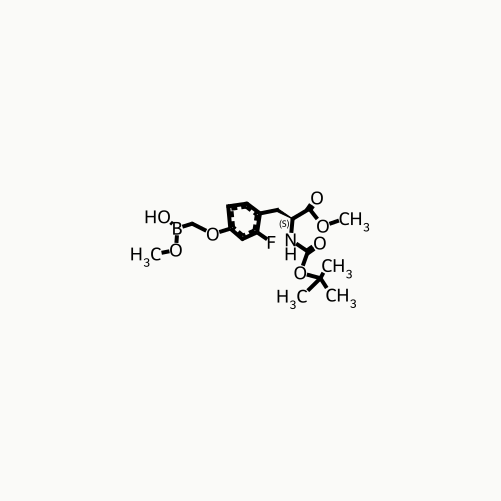 COB(O)COc1ccc(C[C@H](NC(=O)OC(C)(C)C)C(=O)OC)c(F)c1